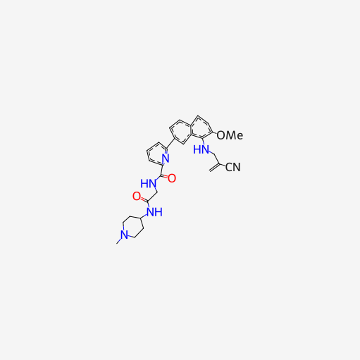 C=C(C#N)CNc1c(OC)ccc2ccc(-c3cccc(C(=O)NCC(=O)NC4CCN(C)CC4)n3)cc12